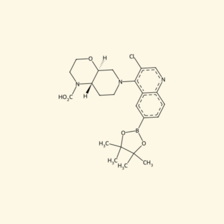 CC1(C)OB(c2ccc3ncc(Cl)c(N4CC[C@H]5[C@H](C4)OCCN5C(=O)O)c3c2)OC1(C)C